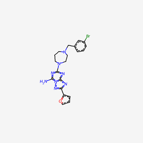 Nc1nc(N2CCCN(Cc3cccc(Br)c3)CC2)nc2nc(-c3ccco3)nn12